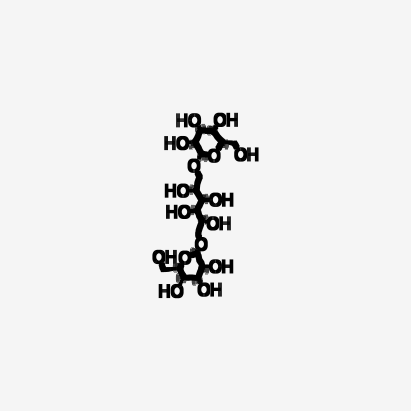 OC[C@H]1O[C@H](OC[C@@H](O)[C@@H](O)[C@H](O)[C@H](O)CO[C@@H]2O[C@H](CO)[C@@H](O)[C@H](O)[C@H]2O)[C@H](O)[C@@H](O)[C@H]1O